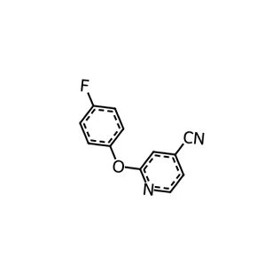 N#Cc1ccnc(Oc2ccc(F)cc2)c1